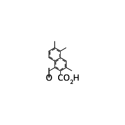 Cc1cc2c(C)c(C)ccc2c(I=O)c1C(=O)O